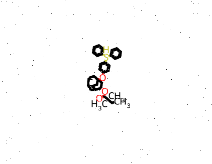 CCC(C)(C)C(=O)OC1CC2(Oc3ccc([SH](c4ccccc4)c4ccccc4)cc3)CC3CCC1C(C3)C2